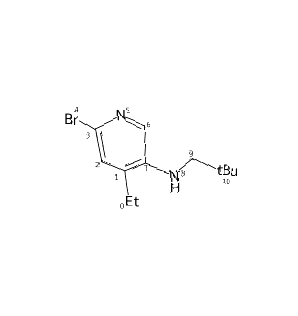 CCc1cc(Br)ncc1NCC(C)(C)C